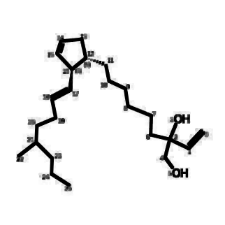 C=CC(O)(CO)CCCCCC[C@H]1CC=C[C@@H]1C=CCCC(C)CCC